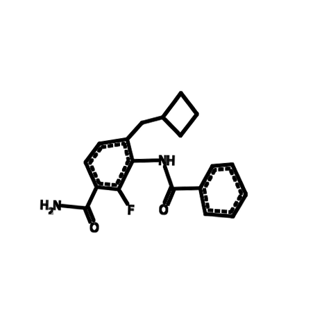 NC(=O)c1ccc(CC2CCC2)c(NC(=O)c2ccccc2)c1F